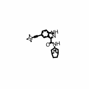 CN1C2CCC1CC(NC(=O)c1n[nH]c3ccc(C#C[Si](C)(C)C)cc13)C2